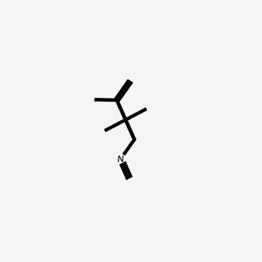 C=NCC(C)(C)C(=C)C